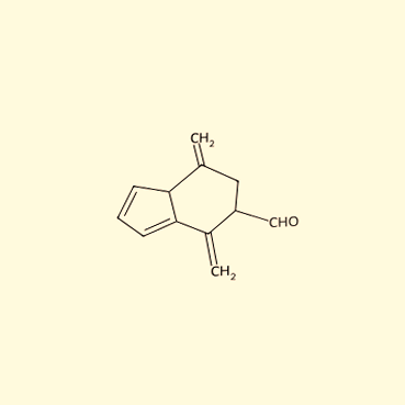 C=C1C2=CC=CC2C(=C)CC1C=O